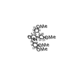 COc1ccc(-c2cc(=O)n(Cc3ccc(OC)c(OC)c3)nc2-c2ccc(OC)cc2)cc1